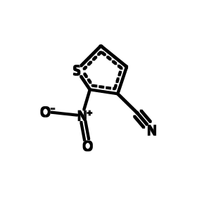 N#Cc1ccsc1[N+](=O)[O-]